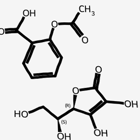 CC(=O)Oc1ccccc1C(=O)O.O=C1O[C@H]([C@@H](O)CO)C(O)=C1O